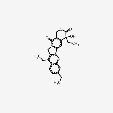 CCc1ccc2c(CC)c3c(nc2c1)-c1cc2c(c(=O)n1C3)COC(=O)[C@]2(O)CC